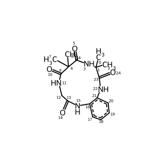 CC1(C)NC(=O)C(C)(C)C(=O)NCC(=O)Nc2ccccc2NC1=O